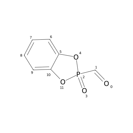 O=CP1(=O)Oc2ccccc2O1